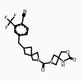 N#Cc1ccc(CC2CC3(C2)CN(C(=O)N2CC4(COC(=O)N4)C2)C3)cc1C(F)(F)F